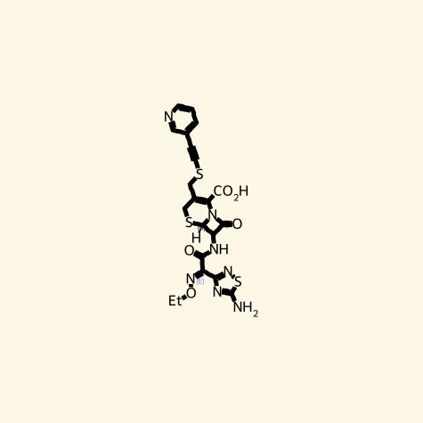 CCO/N=C(/C(=O)NC1C(=O)N2C(C(=O)O)=C(CSC#Cc3cccnc3)CS[C@H]12)c1nsc(N)n1